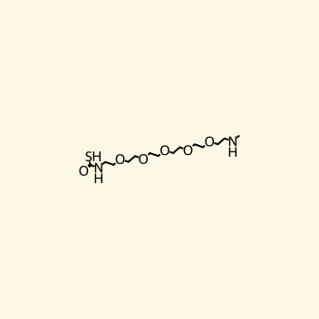 CNCCOCCOCCOCCOCCOCCNC(=O)S